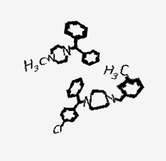 CN1CCN(C(c2ccccc2)c2ccccc2)CC1.Cc1cccc(CN2CCN(C(c3ccccc3)c3ccc(Cl)cc3)CC2)c1